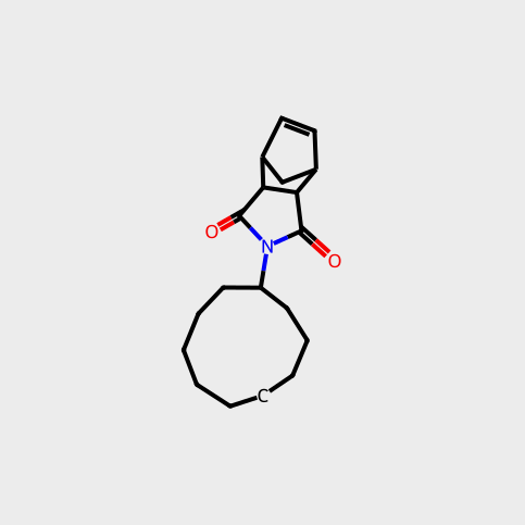 O=C1C2C3C=CC(C3)C2C(=O)N1C1CCCCCCCCC1